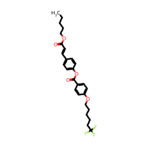 [CH2]CCCCOC(=O)/C=C/c1ccc(OC(=O)c2ccc(OCCCCCC(F)(F)F)cc2)cc1